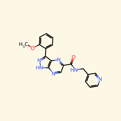 COc1ccccc1-c1n[nH]c2ncc(C(=O)NCc3cccnc3)nc12